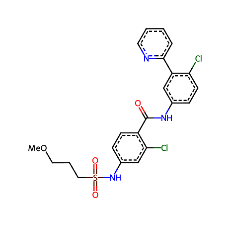 COCCCS(=O)(=O)Nc1ccc(C(=O)Nc2ccc(Cl)c(-c3ccccn3)c2)c(Cl)c1